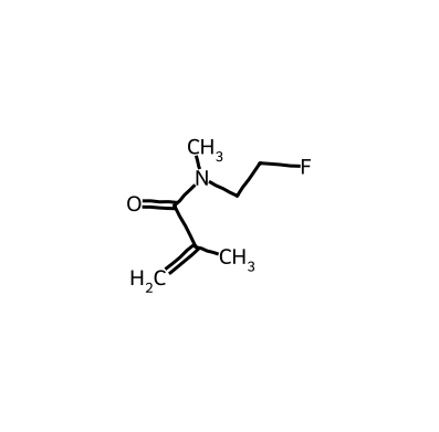 C=C(C)C(=O)N(C)CCF